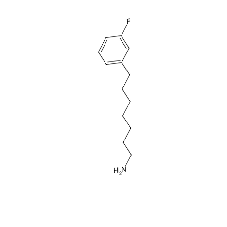 NCCCCCCCc1cccc(F)c1